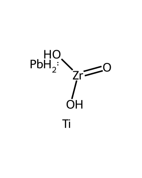 [O]=[Zr]([OH])[OH].[PbH2].[Ti]